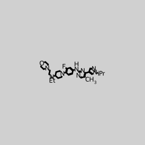 CCN(CCN1CCOCC1)C1CCN(c2ccc(Nc3ncc(C)c(-c4cnn(C(C)C)c4)n3)cc2F)CC1